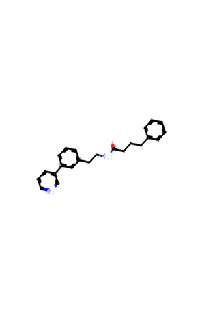 O=C(CCCc1ccccc1)NCCc1cccc(-c2cccnc2)c1